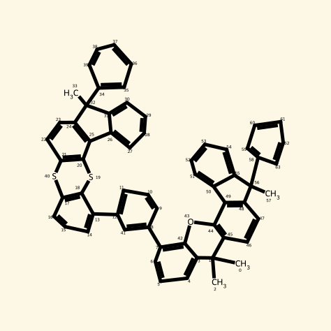 CC1(C)c2cccc(-c3cccc(-c4cccc5c4Sc4c(ccc6c4-c4ccccc4C6(C)c4ccccc4)S5)c3)c2Oc2c1ccc1c2-c2ccccc2C1(C)c1ccccc1